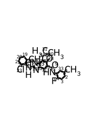 Cc1ccc(F)c(NC(=O)c2cc3nc(Nc4c(C)cccc4Cl)[nH]c3c3c2OC(C)(C)C3)c1